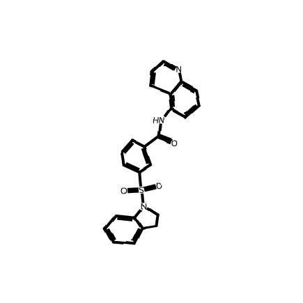 O=C(Nc1cccc2ncccc12)c1cccc(S(=O)(=O)N2CCc3ccccc32)c1